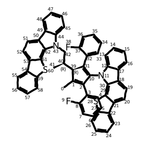 CC1=C(c2ccccc2F)C(n2c3ccccc3c3ccc4c5ccccc5sc4c32)=C(c2ccccc2F)[C@@H]1[C@@H](C)Cn1c2ccccc2c2ccc3c4ccccc4sc3c21